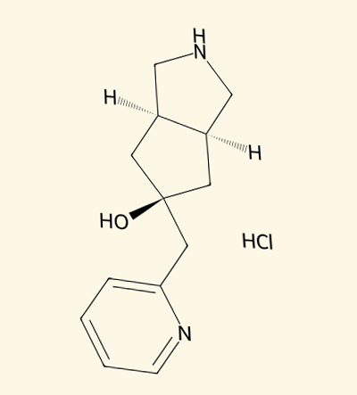 Cl.O[C@@]1(Cc2ccccn2)C[C@H]2CNC[C@H]2C1